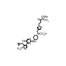 CON(C)C(=O)CCn1cc(CN(C(=O)O)[C@H]2CC[C@H](Nc3ncc(Cl)c(-c4cnn(C)c4CC4CC4)n3)CC2)cn1